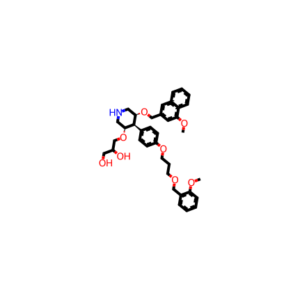 COc1ccccc1COCCCOc1ccc([C@@H]2[C@@H](OCc3cc(OC)c4ccccc4c3)CNC[C@H]2OCC(O)CO)cc1